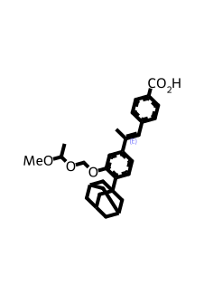 COC(C)OCOc1cc(/C(C)=C/c2ccc(C(=O)O)cc2)ccc1C12CC3CC(CC(C3)C1)C2